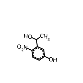 CC(O)c1cc(O)ccc1[N+](=O)[O-]